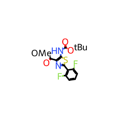 COC(=O)c1nc(-c2c(F)cccc2F)sc1NC(=O)OC(C)(C)C